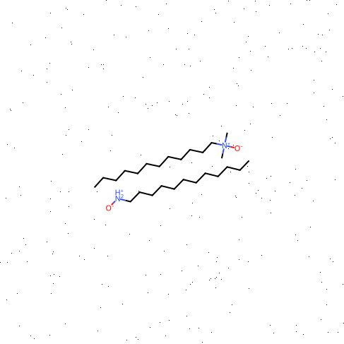 CCCCCCCCCCCC[N+](C)(C)[O-].CCCCCCCCCCCC[NH2+][O-]